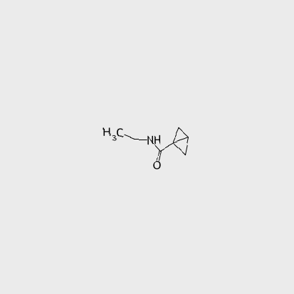 CCNC(=O)C12CC1C2